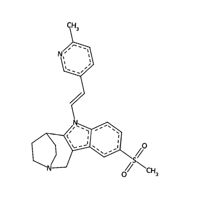 Cc1ccc(C=Cn2c3c(c4cc(S(C)(=O)=O)ccc42)CN2CCC3CC2)cn1